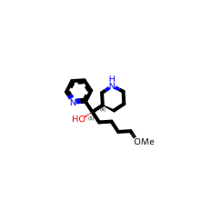 COCCCC[C@@](O)(c1ccccn1)[C@@H]1CCCNC1